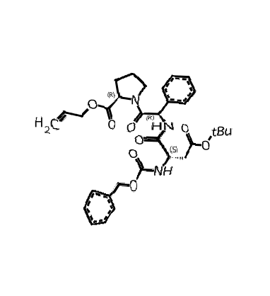 C=CCOC(=O)[C@H]1CCCN1C(=O)[C@H](NC(=O)[C@H](CC(=O)OC(C)(C)C)NC(=O)OCc1ccccc1)c1ccccc1